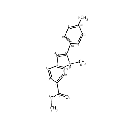 COC(=O)c1ccc2nc(-c3ccc(C)cc3)n(C)c2c1